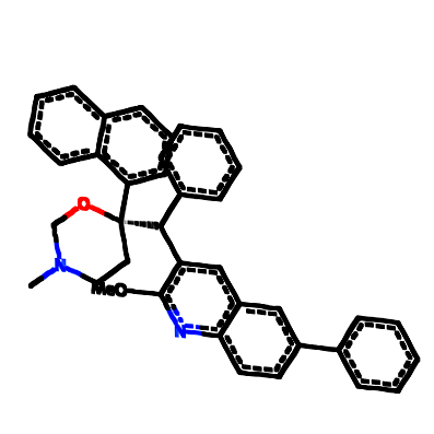 COc1nc2ccc(-c3ccccc3)cc2cc1C(c1ccccc1)[C@]1(c2cccc3ccccc23)CCN(C)CO1